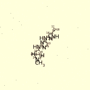 CN1C[C@H]2CC(Nc3nccc(Nc4cc(C5CC5)[nH]n4)n3)C[C@H]2C1